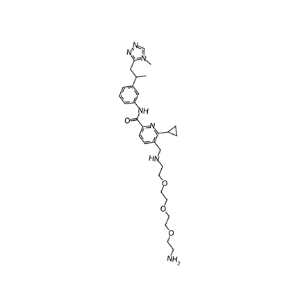 CC(Cc1nncn1C)c1cccc(NC(=O)c2ccc(CNCCOCCOCCOCCN)c(C3CC3)n2)c1